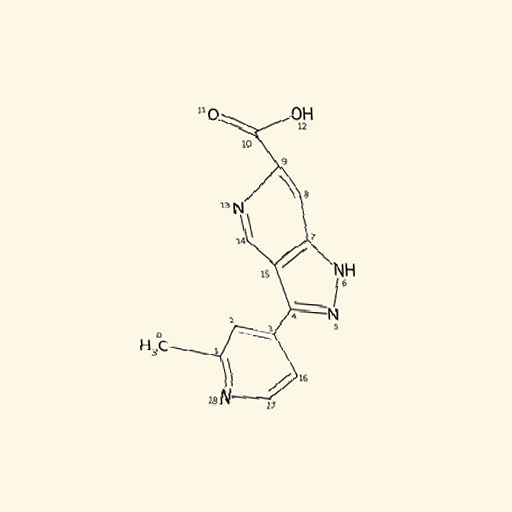 Cc1cc(-c2n[nH]c3cc(C(=O)O)ncc23)ccn1